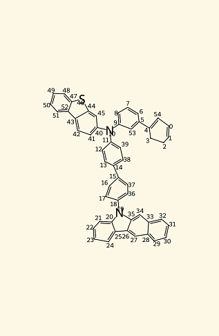 C1=CCCC(c2cccc(N(c3ccc(-c4ccc(-n5c6ccccc6c6cc7ccccc7cc65)cc4)cc3)c3ccc4c(c3)sc3ccccc34)c2)=C1